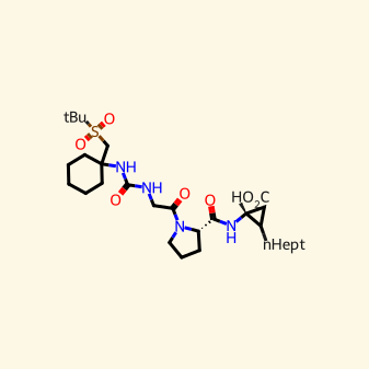 CCCCCCCC1C[C@]1(NC(=O)[C@@H]1CCCN1C(=O)CNC(=O)NC1(CS(=O)(=O)C(C)(C)C)CCCCC1)C(=O)O